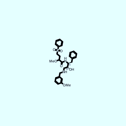 COc1cccc(CNC[C@@H](O)[C@H](Cc2ccccc2)NC(=O)C(CCS(=O)(=O)c2ccccc2)OC)c1